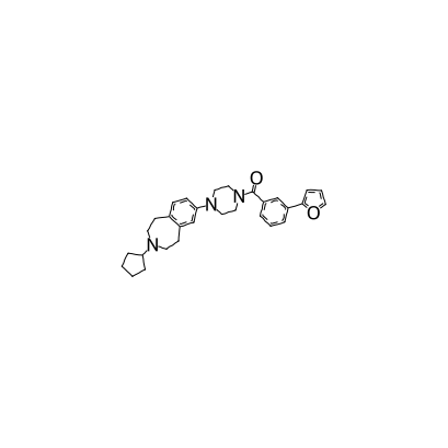 O=C(c1cccc(-c2ccco2)c1)N1CCN(c2ccc3c(c2)CCN(C2CCCC2)CC3)CC1